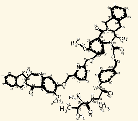 COc1cc2c(cc1OCc1cccc(COc3cc4c(cc3OC)C(=O)N3Cc5ccccc5CC3C(O)N4C(=O)OCc3ccc(NC(=O)[C@H](C)NC(=O)[C@@H](N)C(C)C)cc3)n1)N=C[C@@H]1Cc3ccccc3CN1C2=O